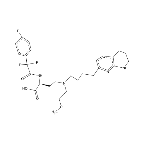 COCCN(CCCCc1ccc2c(n1)NCCC2)CC[C@H](NC(=O)C(F)(F)c1ccc(F)cc1)C(=O)O